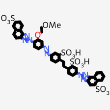 COCCOc1cc(N=Nc2ccc(C=Cc3ccc(-n4n5c6cc(S(=O)(=O)O)c7ccccc7c6n45)cc3S(=O)(=O)O)c(S(=O)(=O)O)c2)ccc1-n1n2c3ccc4cc(S(=O)(=O)O)ccc4c3n12